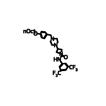 CCCCCCCCOc1ccc(CN2CCN(C3CN(C(=O)Nc4cc(C(F)(F)F)cc(C(F)(F)F)c4)C3)CC2)cc1